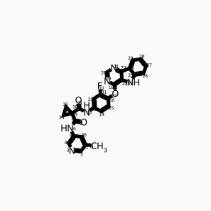 Cc1cncc(NC(=O)C2(C(=O)Nc3ccc(Oc4ncnc5c4[nH]c4ccccc45)c(F)c3)CC2)c1